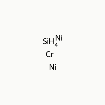 [Cr].[Ni].[Ni].[SiH4]